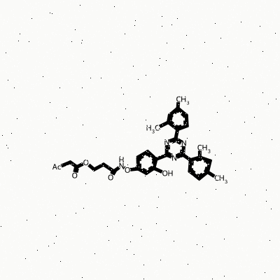 CC(=O)CC(=O)OCCC(=O)NOc1ccc(-c2nc(-c3ccc(C)cc3C)nc(-c3ccc(C)cc3C)n2)c(O)c1